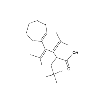 CC(C)=C(C1=CCCCCC1)C(=C(C)C)C(CC(C)(C)C)C(=O)O